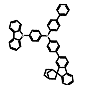 c1ccc(-c2ccc(N(c3ccc(-c4ccc5c(c4)C4(CC6CCC4C6)c4ccccc4-5)cc3)c3ccc(-n4c5ccccc5c5ccccc54)cc3)cc2)cc1